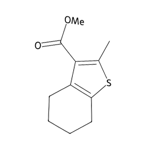 COC(=O)c1c(C)sc2c1CCCC2